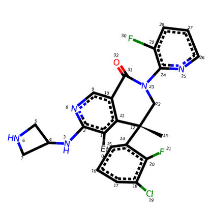 CCc1c(NC2CNC2)ncc2c1[C@@](C)(c1cccc(Cl)c1F)CN(c1ncccc1F)C2=O